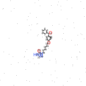 O=C(c1ccccc1)c1ccc(OCCCCCCn2nc[nH]c2=O)cc1